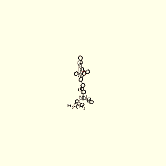 CC1(C)c2ccccc2-c2c(-c3cc(-c4cc5ccccc5o4)nc(-c4ccc5c(c4)oc4cc(-c6ccc7c(c6)c6ccccc6n7-c6ccccc6-c6nc(-c7ccccc7)cc(-c7cc8ccccc8o7)n6)ccc45)n3)cccc21